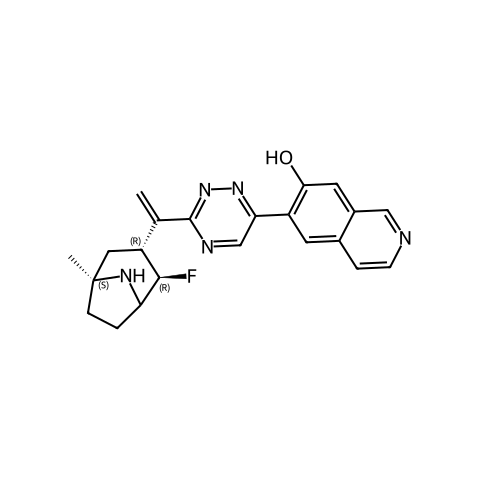 C=C(c1ncc(-c2cc3ccncc3cc2O)nn1)[C@H]1C[C@]2(C)CCC(N2)[C@@H]1F